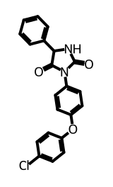 O=C1NC(c2ccccc2)C(=O)N1c1ccc(Oc2ccc(Cl)cc2)cc1